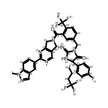 Cn1ncc2cc(-c3ncc4c(n3)CN(C(=O)c3cc(CN5C(=N)N[C@](CCCC(F)(F)F)(c6ccc(F)cc6)C5=O)ccc3C(F)(F)F)C4)ccc21